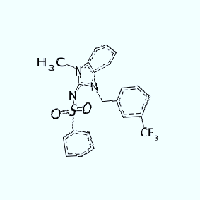 Cn1/c(=N/S(=O)(=O)c2ccccc2)n(Cc2cccc(C(F)(F)F)c2)c2ccccc21